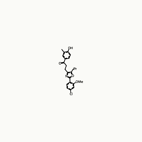 COc1cc(Cl)ccc1-c1nc(CCC(=O)c2ccc(O)c(C)c2)c(C(C)C)o1